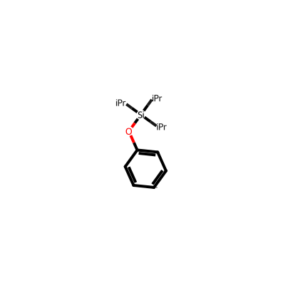 CC(C)[Si](Oc1cc[c]cc1)(C(C)C)C(C)C